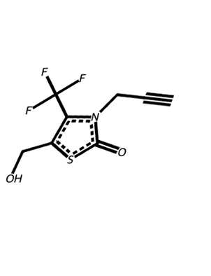 C#CCn1c(C(F)(F)F)c(CO)sc1=O